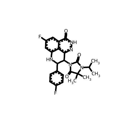 CC(C)N1C(=O)N(C2c3n[nH]c(=O)c4cc(F)cc(c34)NC2c2ccc(F)cc2)C(=O)C1(C)C